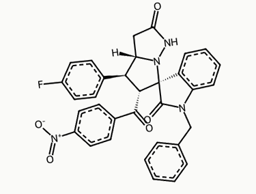 O=C1C[C@H]2[C@H](c3ccc(F)cc3)[C@@H](C(=O)c3ccc([N+](=O)[O-])cc3)[C@]3(C(=O)N(Cc4ccccc4)c4ccccc43)N2N1